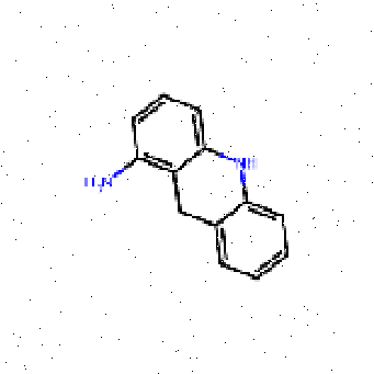 Nc1cccc2c1Cc1ccccc1N2